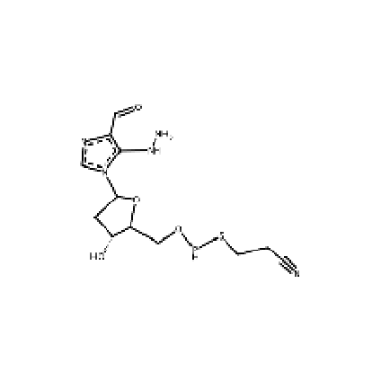 N#CCCSPOCC1OC(n2cnc(C=O)c2NN)C[C@H]1O